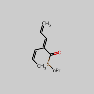 C=C/C=C(\C=C/C)C(=O)SCCC